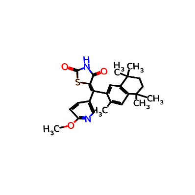 COc1ccc(C(=C2SC(=O)NC2=O)c2cc3c(cc2C)C(C)(C)CCC3(C)C)cn1